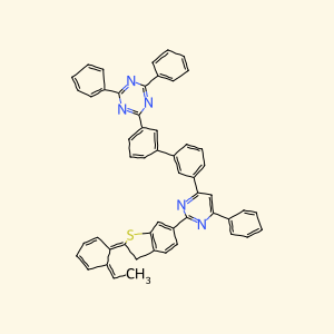 C/C=c1/cccc/c1=C1/Cc2ccc(-c3nc(-c4ccccc4)cc(-c4cccc(-c5cccc(-c6nc(-c7ccccc7)nc(-c7ccccc7)n6)c5)c4)n3)cc2S1